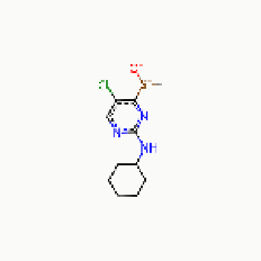 C[S+]([O-])c1nc(NC2CCCCC2)ncc1Cl